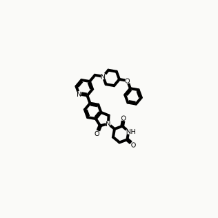 O=C1CCC(N2Cc3cc(-c4cc(CN5CCC(Oc6ccccc6)CC5)ccn4)ccc3C2=O)C(=O)N1